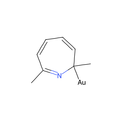 CC1=N[C](C)([Au])C=CC=C1